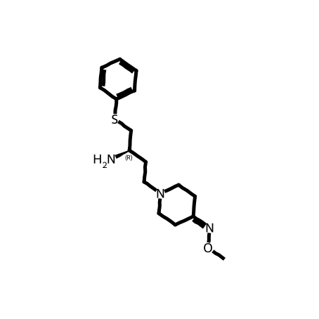 CON=C1CCN(CC[C@@H](N)CSc2ccccc2)CC1